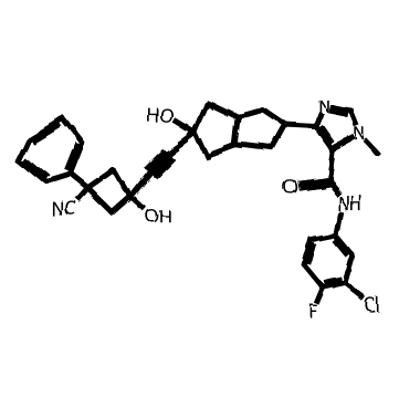 Cn1cnc(C2CC3CC(O)(C#CC4(O)CC(C#N)(c5ccccc5)C4)CC3C2)c1C(=O)Nc1ccc(F)c(Cl)c1